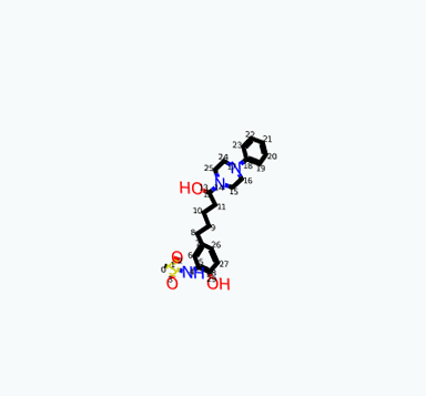 CS(=O)(=O)Nc1cc(CCCCC(O)N2CCN(c3ccccc3)CC2)ccc1O